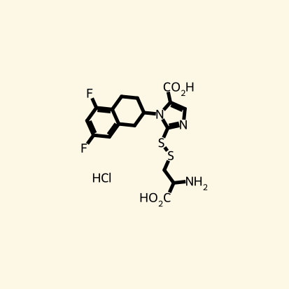 Cl.NC(CSSc1ncc(C(=O)O)n1C1CCc2c(F)cc(F)cc2C1)C(=O)O